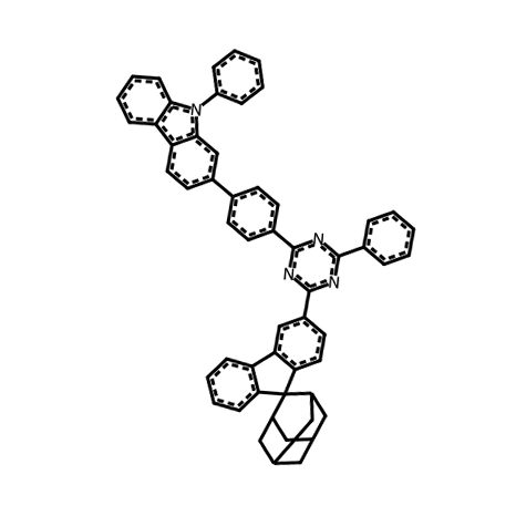 c1ccc(-c2nc(-c3ccc(-c4ccc5c6ccccc6n(-c6ccccc6)c5c4)cc3)nc(-c3ccc4c(c3)-c3ccccc3C43C4CC5CC(C4)CC3C5)n2)cc1